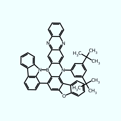 CC(C)(C)c1cc(N2c3cc4nc5ccccc5nc4cc3B3c4c(cc5oc6ccccc6c5c42)-c2cccc4c5ccccc5n3c24)cc(C(C)(C)C)c1